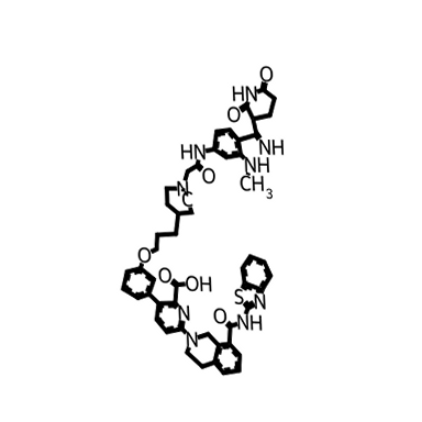 CNc1cc(NC(=O)CN2CCC(CCCOc3cccc(-c4ccc(N5CCc6cccc(C(=O)Nc7nc8ccccc8s7)c6C5)nc4C(=O)O)c3)CC2)ccc1C(=N)C1CCC(=O)NC1=O